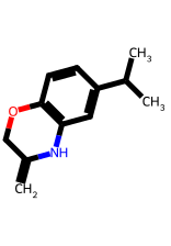 C=C1COc2ccc(C(C)C)cc2N1